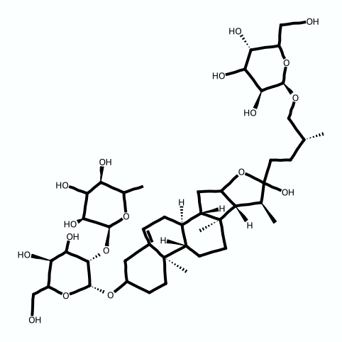 CC1O[C@@H](O[C@H]2C(O)[C@H](O)C(CO)O[C@H]2OC2CC[C@@]3(C)C(=CC[C@H]4[C@@H]5CC6OC(O)(CC[C@@H](C)CO[C@@H]7OC(CO)[C@@H](O)C(O)[C@@H]7O)[C@@H](C)[C@@H]6[C@@]5(C)CC[C@@H]43)C2)[C@@H](O)C(O)[C@H]1O